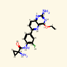 CCOc1nc(N)nc2ccc(-c3ccc(NC(=O)C4(N)CC4)c(F)c3)nc12